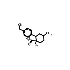 CC1CCC(C(N)=O)(C(C)C)C(c2ccc(CC#N)cc2)C1